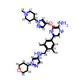 Cc1cc(-c2cnc(N)c(Oc3cnn(C4CCN(C)CC4)c3)n2)cc(C)c1CNc1cnn(C2CCOCC2)c1